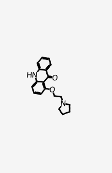 O=c1c2ccccc2[nH]c2cccc(OCCN3CCCC3)c12